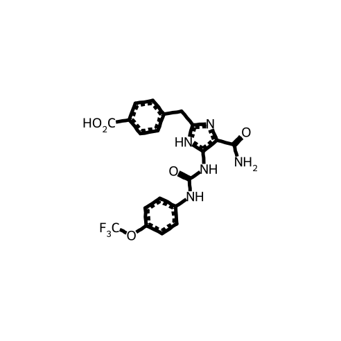 NC(=O)c1nc(Cc2ccc(C(=O)O)cc2)[nH]c1NC(=O)Nc1ccc(OC(F)(F)F)cc1